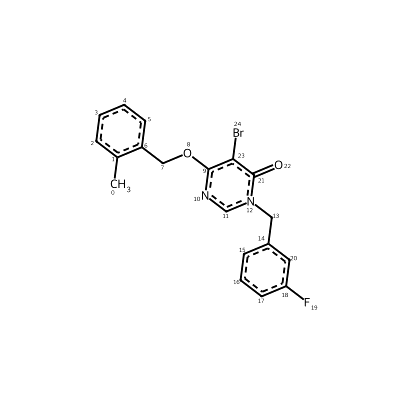 Cc1ccccc1COc1ncn(Cc2cccc(F)c2)c(=O)c1Br